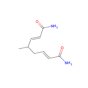 CC(C=CC(N)=O)CC=CC(N)=O